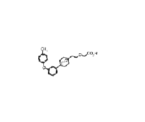 Cc1ccc(Oc2cccc(C34CCC(CCOCC(=O)O)(CC3)OC4)c2)cc1